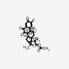 CC(=O)OCC(=O)[C@@]12C(C[C@H]3[C@@H]4C(=O)C(=O)C5=CC(=O)C(F)=C[C@]5(C)[C@@]45O[C@H]5C[C@@]31C)C2(C)C